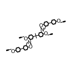 C#CCOc1ccc(-c2ccc3c(c2)CN(c2cc(C(C)(C)c4ccc(OCC#C)c(N5COc6ccc(-c7ccc(OCC#C)cc7)cc6C5)c4)ccc2OCC#C)CO3)cc1